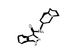 O=C(NC1CCC2CCCN2C1)c1n[nH]c2ccccc12